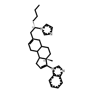 CCCC[C@@H](CC1=CCC2C(CC[C@]3(C)C(n4cnc5ccccc54)=CCC23)C1)n1ccnc1